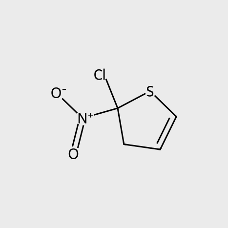 O=[N+]([O-])C1(Cl)CC=CS1